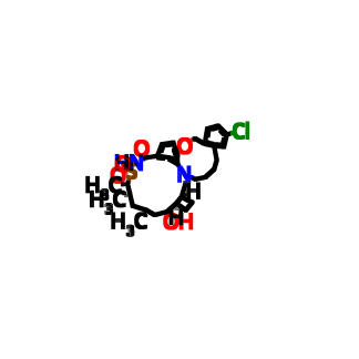 C[C@H]1C[C@@H](O)[C@@H]2CC[C@H]2CN2CCCCc3cc(Cl)ccc3COc3ccc(cc32)C(=O)NS(=O)(=O)[C@H](C)[C@@H](C)C1